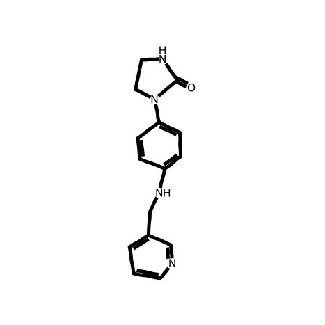 O=C1NCCN1c1ccc(NCc2cccnc2)cc1